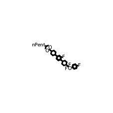 CCCCCC1COC(C2CCC(c3ccc(C4CCC(C(F)(F)Oc5ccc(F)cc5)CC4)c(F)c3)CC2)OC1